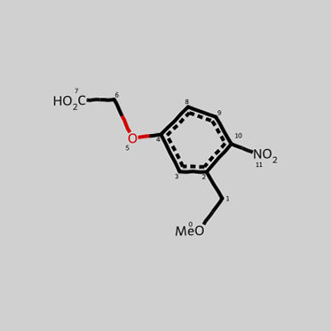 COCc1cc(OCC(=O)O)ccc1[N+](=O)[O-]